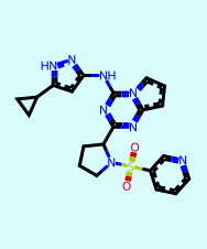 O=S(=O)(c1cccnc1)N1CCCC1c1nc(Nc2cc(C3CC3)[nH]n2)n2cccc2n1